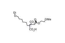 CCOCCCCCC/C(C(=O)O)=C(/CC(=O)OCCOC)C(=O)O